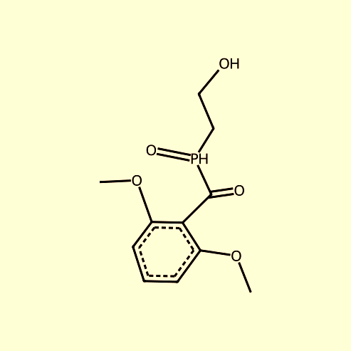 COc1cccc(OC)c1C(=O)[PH](=O)CCO